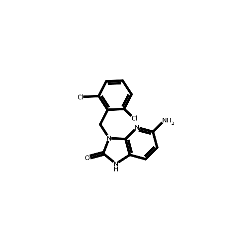 Nc1ccc2[nH]c(=O)n(Cc3c(Cl)cccc3Cl)c2n1